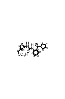 O=C(O)Cc1csc(NC(=O)Nc2ccccc2C(=O)C2CCCC2)n1